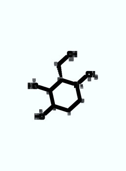 CN1CCC(O)C(O)[C@@H]1CO